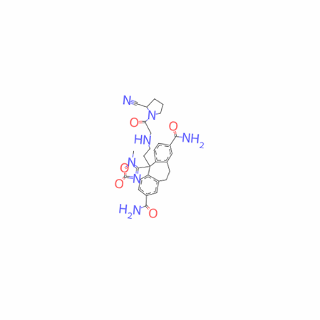 Cn1oc(=O)nc1C1(CCNCC(=O)N2CCCC2C#N)c2ccc(C(N)=O)cc2CCc2cc(C(N)=O)ccc21